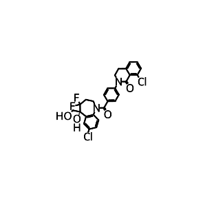 O=C1c2c(Cl)cccc2CCN1c1ccc(C(=O)N2CCC(F)(F)[C@](O)(CO)c3cc(Cl)ccc32)cc1